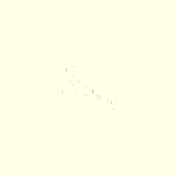 CC(C)CN(c1cccc(Cl)c1)S(=O)(=O)c1ccc(N2CCN(S(C)(=O)=O)CC2)cc1F